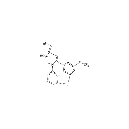 CCC/C=C(/C=C(/c1cc(F)cc(OC(F)(F)F)c1)N(C)c1cncc(C(F)(F)F)c1)C(=O)O